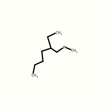 CCCCC(CC)C[N]C